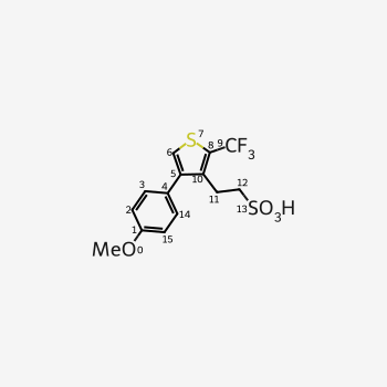 COc1ccc(-c2csc(C(F)(F)F)c2CCS(=O)(=O)O)cc1